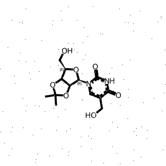 CC1(C)OC2C(O1)[C@@H](CO)O[C@H]2n1cc(CO)c(=O)[nH]c1=O